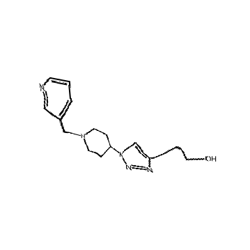 OCCc1cn(C2CCN(Cc3cccnc3)CC2)nn1